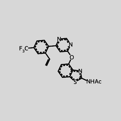 C=Cc1cc(C(F)(F)F)ccc1-c1cc(Oc2cccc3sc(NC(C)=O)nc23)ncn1